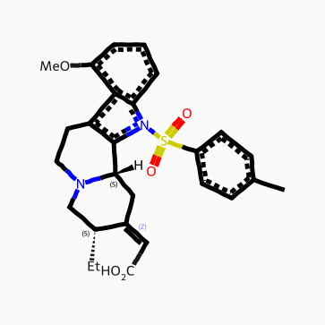 CC[C@@H]1CN2CCc3c(n(S(=O)(=O)c4ccc(C)cc4)c4cccc(OC)c34)[C@@H]2C/C1=C/C(=O)O